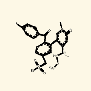 CCS(=O)(=O)Cc1ccc(C(=O)c2ccc(F)cc2)c(-c2cn(C)c(=O)cc2[C@H](C)NSC(C)(C)C)c1